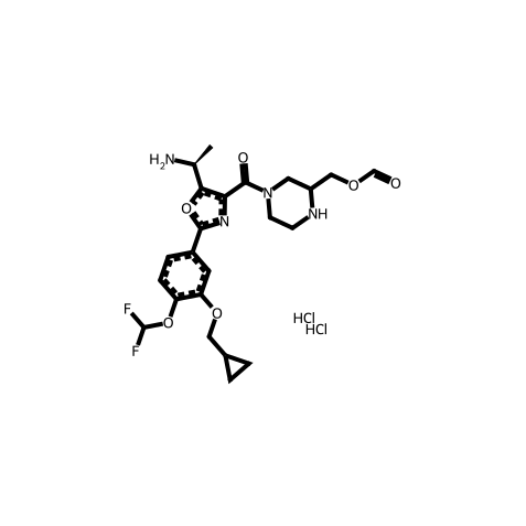 C[C@H](N)c1oc(-c2ccc(OC(F)F)c(OCC3CC3)c2)nc1C(=O)N1CCNC(COC=O)C1.Cl.Cl